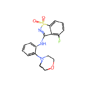 O=S1(=O)N=C(Nc2ccccc2N2CCOCC2)c2c(F)cccc21